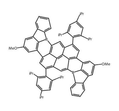 COc1cc2c3c(c1)-c1cc(-c4c(C(C)C)cc(C(C)C)cc4C(C)C)c4cc5c6c(cc(-c7c(C(C)C)cc(C(C)C)cc7C(C)C)c7cc(c1c4c76)B3c1ccccc1-2)-c1cc(OC)cc2c1B5c1ccccc1-2